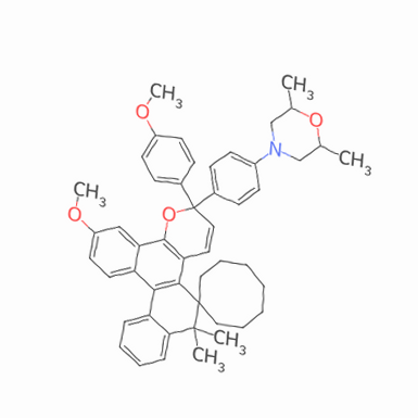 COc1ccc(C2(c3ccc(N4CC(C)OC(C)C4)cc3)C=Cc3c4c(c5ccc(OC)cc5c3O2)-c2ccccc2C(C)(C)C42CCCCCCC2)cc1